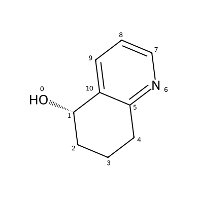 O[C@H]1CCCc2ncccc21